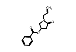 C=CCN1CC(OC(=O)c2ccccc2)CC1=O